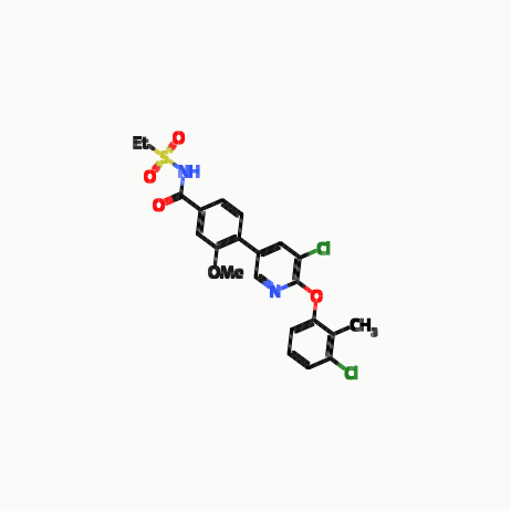 CCS(=O)(=O)NC(=O)c1ccc(-c2cnc(Oc3cccc(Cl)c3C)c(Cl)c2)c(OC)c1